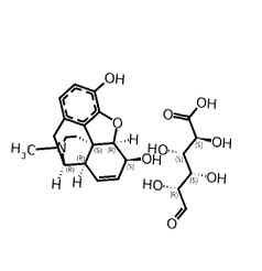 CN1CC[C@]23c4c5ccc(O)c4O[C@H]2[C@@H](O)C=C[C@H]3[C@H]1C5.O=C[C@H](O)[C@@H](O)[C@H](O)[C@H](O)C(=O)O